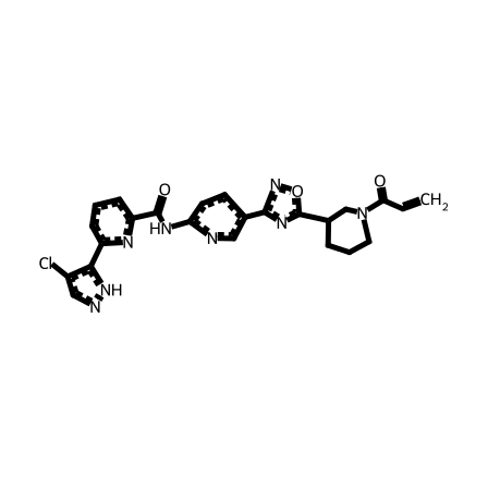 C=CC(=O)N1CCCC(c2nc(-c3ccc(NC(=O)c4cccc(-c5[nH]ncc5Cl)n4)nc3)no2)C1